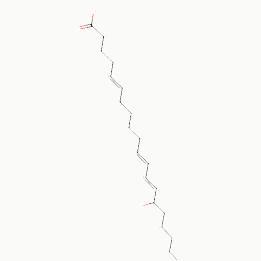 CCCCCC(O)C=CC=CCCCCC=CCCCC(=O)O